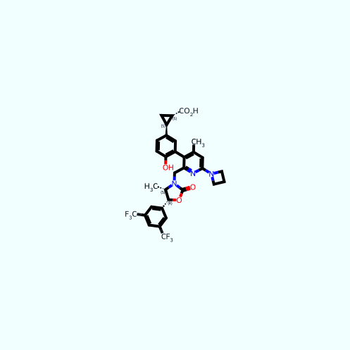 Cc1cc(N2CCC2)nc(CN2C(=O)O[C@H](c3cc(C(F)(F)F)cc(C(F)(F)F)c3)[C@@H]2C)c1-c1cc([C@H]2C[C@@H]2C(=O)O)ccc1O